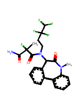 CN1C(=O)C(N(CCC(F)(F)C(F)F)C(=O)C(C)(F)C(N)=O)c2ccccc2-c2ccccc21